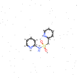 O=S(=O)(Cc1ccccn1)Nc1ccccn1